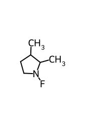 CC1CCN(F)C1C